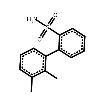 Cc1cccc(-c2ccccc2S(N)(=O)=O)c1C